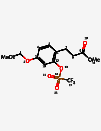 COCOc1ccc(CCC(=O)OC)c(OS(=O)(=O)C(F)(F)F)c1